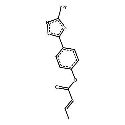 C/C=C/C(=O)Oc1ccc(-c2nnc(CCC)s2)cc1